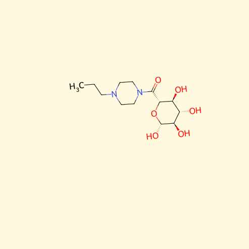 CCCN1CCN(C(=O)[C@H]2O[C@@H](O)[C@H](O)[C@@H](O)[C@@H]2O)CC1